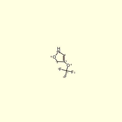 FC(F)(F)OC1=CNO[CH]1